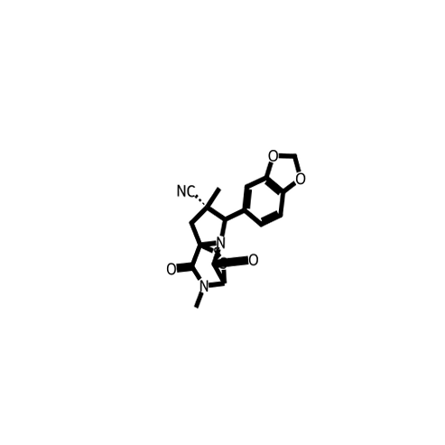 CN1C(=O)C23C[C@](C)(C#N)C(c4ccc5c(c4)OCO5)N2C(=O)C1SS3